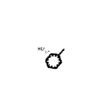 Cc1ccccc1.[Li+].[OH-]